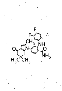 Cc1cc2c(n1-c1ccc(C(N)=O)c(Nc3ccc(F)c(F)c3)c1)CC(C)(C)CC2=O